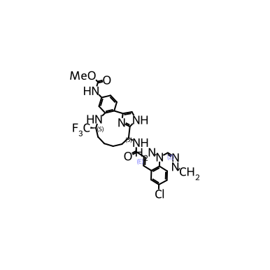 C=N/N=C\N(N)c1ccc(Cl)cc1/C=C/C(=O)N[C@H]1CCCC[C@@H](C(F)(F)F)Nc2cc(NC(=O)OC)ccc2-c2c[nH]c1n2